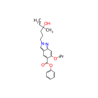 C=CC(C)(O)CCCn1cc2cc(C(=O)Oc3ccccc3)c(OC(C)C)cc2n1